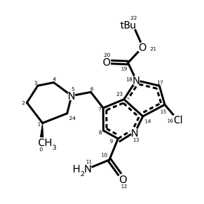 C[C@H]1CCCN(Cc2cc(C(N)=O)nc3c(Cl)cn(C(=O)OC(C)(C)C)c23)C1